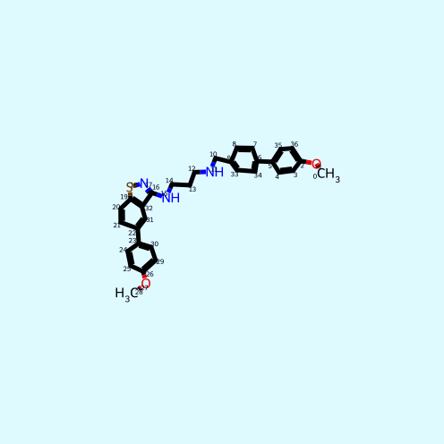 COc1ccc(-c2ccc(CNCCCNc3nsc4ccc(-c5ccc(OC)cc5)cc34)cc2)cc1